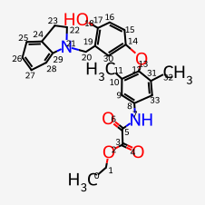 CCOC(=O)C(=O)Nc1cc(C)c(Oc2ccc(O)c(CN3CCc4ccccc43)c2)c(C)c1